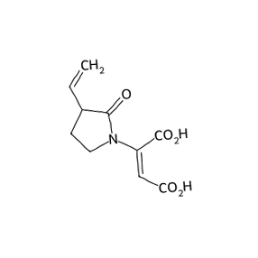 C=CC1CCN(/C(=C/C(=O)O)C(=O)O)C1=O